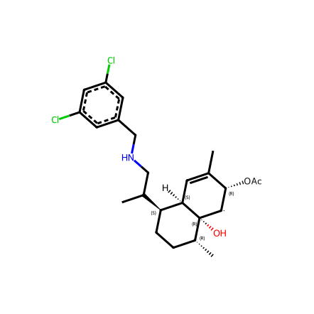 CC(=O)O[C@@H]1[CH][C@@]2(O)[C@H](C)CC[C@@H](C(C)CNCc3cc(Cl)cc(Cl)c3)[C@H]2C=C1C